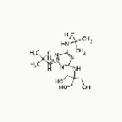 CC(C)(C)Nc1nc(NC(C)(C)C)nc(NC(CO)(CO)CO)n1